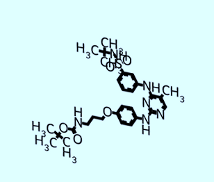 Cc1cnc(Nc2ccc(OCCCNC(=O)OC(C)(C)C)cc2)nc1Nc1cccc(S(=O)(=O)NC(C)(C)C)c1